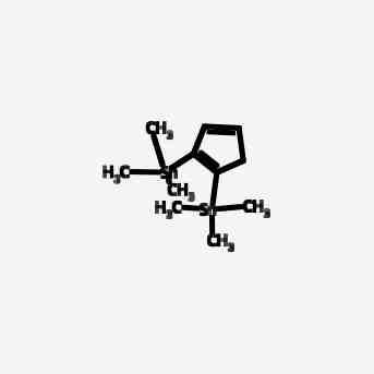 [CH3][Sn]([CH3])([CH3])[C]1=[C]([Sn]([CH3])([CH3])[CH3])CC=C1